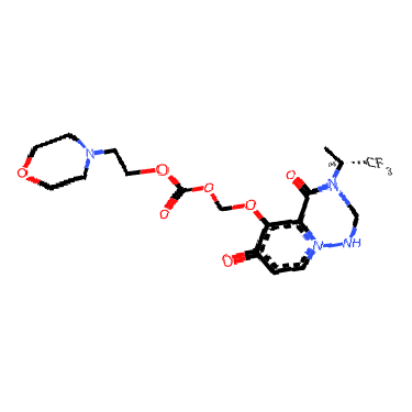 C[C@@H](N1CNn2ccc(=O)c(OCOC(=O)OCCN3CCOCC3)c2C1=O)C(F)(F)F